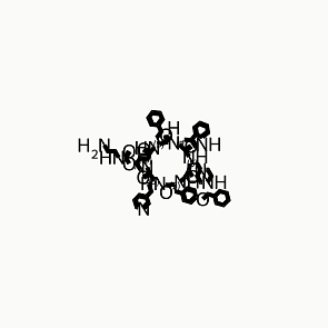 NCCNC(=O)O[C@@H]1C[C@H]2C(=O)N[C@@H](CCc3ccccc3)C(=O)N[C@H](Cc3c[nH]c4ccccc34)C(=O)N[C@@H](CN3CCNCC3)C3OC3N[C@@H](Cc3ccc(OCC4CCCCC4)cc3)C(=O)N[C@@H](CCc3cccnc3)C(=O)N2C1